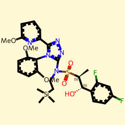 COc1cccc(-c2nnc(N(CC[Si](C)(C)C)S(=O)(=O)[C@@H](C)[C@@H](O)c3ccc(F)cc3F)n2-c2c(OC)cccc2OC)n1